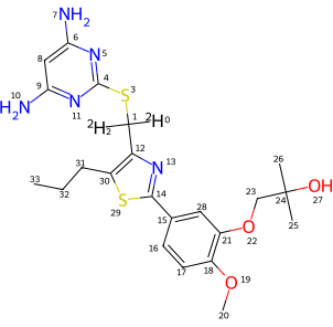 [2H]C([2H])(Sc1nc(N)cc(N)n1)c1nc(-c2ccc(OC)c(OCC(C)(C)O)c2)sc1CCC